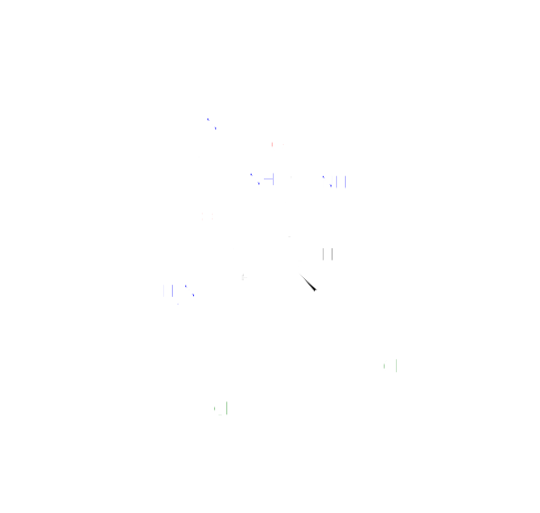 Nc1cc(Cl)ccc1[C@@H]1CC[C@@]2(NC(=O)c3ccccn3)C(=O)NC[C@H]2[C@H]1c1ccc(Cl)cc1